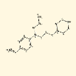 C=Cc1ccc([SiH](CCCN2CCOCC2)COC)cc1